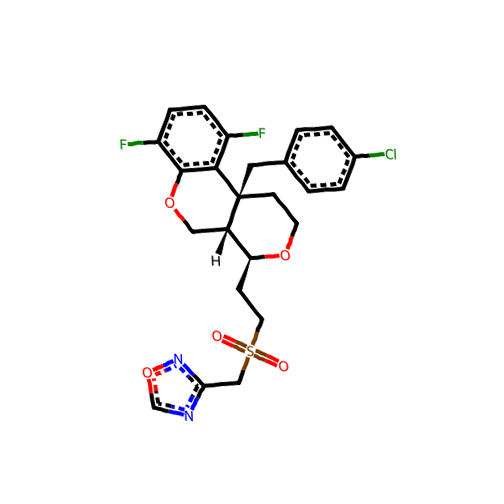 O=S(=O)(CC[C@@H]1OCC[C@@]2(Cc3ccc(Cl)cc3)c3c(F)ccc(F)c3OC[C@@H]12)Cc1ncon1